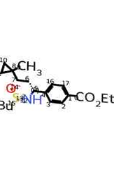 CCOC(=O)c1ccc([C@@H](CCC2(C)CC2)N[S+]([O-])C(C)(C)C)cc1